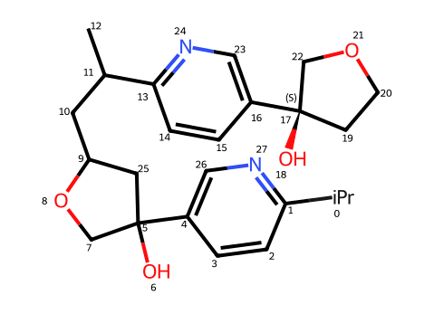 CC(C)c1ccc(C2(O)COC(CC(C)c3ccc([C@@]4(O)CCOC4)cn3)C2)cn1